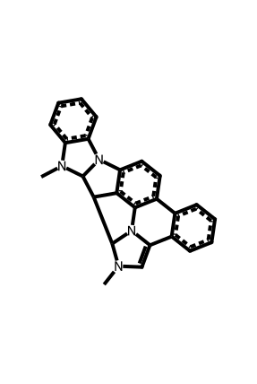 CN1C=C2c3ccccc3-c3ccc4c5c3N2C1C5C1N(C)c2ccccc2N41